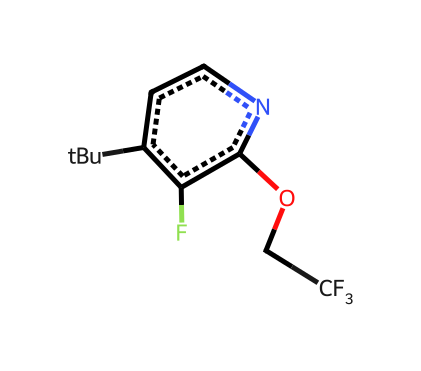 CC(C)(C)c1ccnc(OCC(F)(F)F)c1F